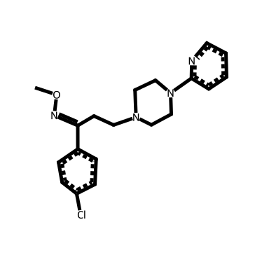 CO/N=C(\CCN1CCN(c2ccccn2)CC1)c1ccc(Cl)cc1